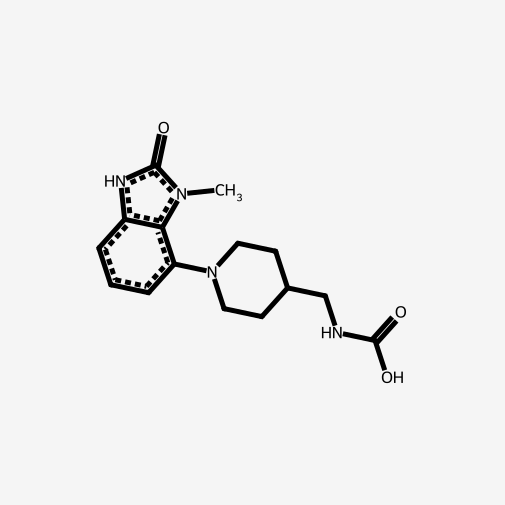 Cn1c(=O)[nH]c2cccc(N3CCC(CNC(=O)O)CC3)c21